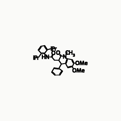 COc1cc2c(cc1OC)N(C)C(=O)C(CC(=O)Nc1c(C(C)C)cccc1C(C)C)C2c1ccccc1